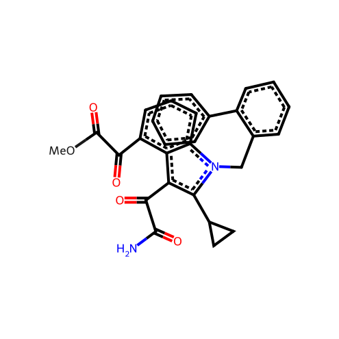 COC(=O)C(=O)c1cccc2c1c(C(=O)C(N)=O)c(C1CC1)n2Cc1ccccc1-c1ccccc1